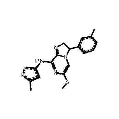 CSC1=CN2C(=NCC2c2cccc(C)c2)C(Nc2cc(C)ns2)=N1